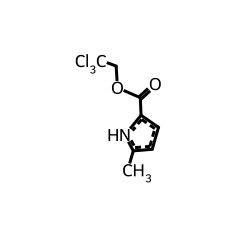 Cc1ccc(C(=O)OCC(Cl)(Cl)Cl)[nH]1